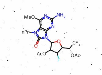 CCCn1c(=O)n(C2OC([C@@H](OC(C)=O)C(F)(F)F)C(F)C2OC(C)=O)c2nc(N)nc(OC)c21